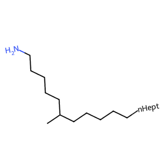 CCCCCCCCCCCCC(C)CCCCCN